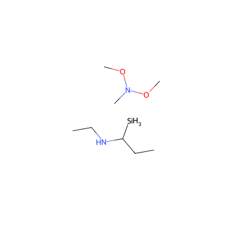 CCNC([SiH3])CC.CON(C)OC